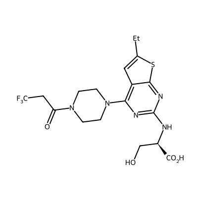 CCc1cc2c(N3CCN(C(=O)CC(F)(F)F)CC3)nc(N[C@H](CO)C(=O)O)nc2s1